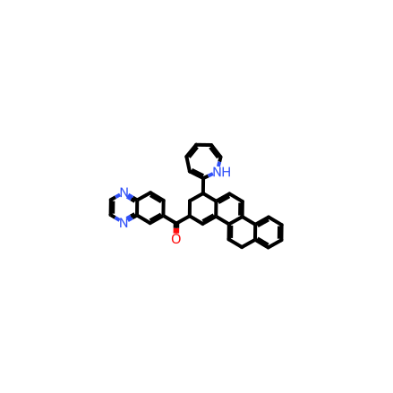 O=C(c1ccc2nccnc2c1)C1C=c2c(ccc3c2=CCc2ccccc2-3)C(C2=CC=CC=CN2)C1